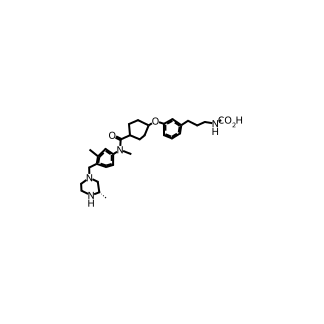 Cc1cc(N(C)C(=O)C2CCC(Oc3cccc(CCCNC(=O)O)c3)CC2)ccc1CN1CCN[C@@H](C)C1